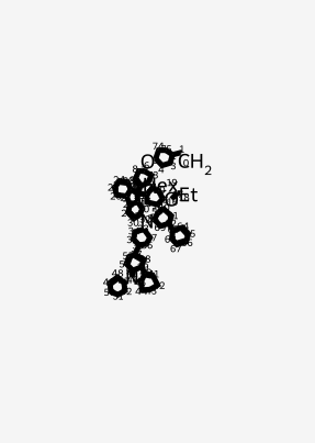 C=CC1CCC(OC2CC=C(C3(C4CCC(OC(CC)CCCCCC)CC4)C4C=CCCC4C4C=CC(N(C5CCC(C6=CC7C8=CCCCC8N(C8C=CCCC8)C7C=C6)CC5)C5CCCC(C6C=CC=CC6)C5)CC43)CC2)CC1